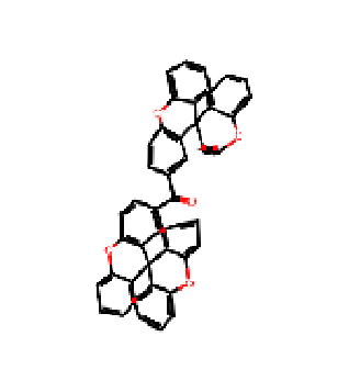 O=C(c1ccc2c(c1)C1(c3ccccc3Oc3ccccc31)c1ccccc1O2)c1ccc2c(c1)C1(c3ccccc3Oc3ccccc31)c1ccccc1O2